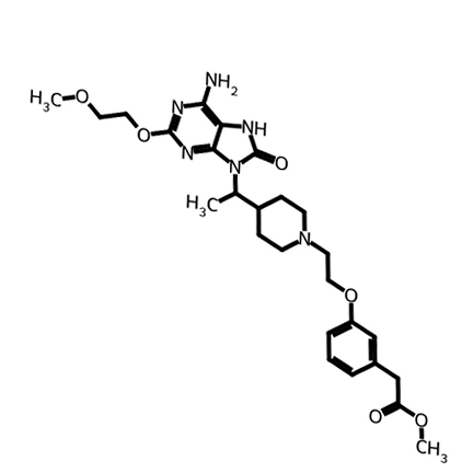 COCCOc1nc(N)c2[nH]c(=O)n(C(C)C3CCN(CCOc4cccc(CC(=O)OC)c4)CC3)c2n1